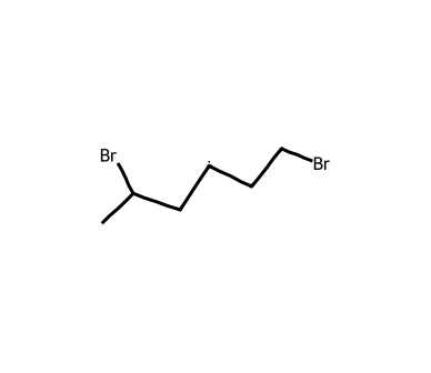 CC(Br)C[CH]CCBr